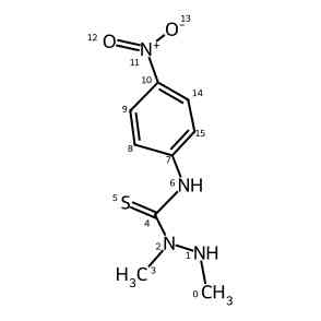 CNN(C)C(=S)Nc1ccc([N+](=O)[O-])cc1